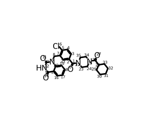 O=C(c1ccc(Cl)c(Cn2c(=O)[nH]c(=O)c3ccccc32)c1)N1CCN(C(=O)C2CCCCC2)CC1